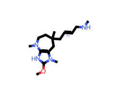 CNC/C=C/CC1(C)CCN(C)C2=C(C1)N(C)C(OC)N2